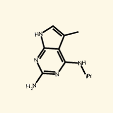 Cc1c[nH]c2nc(N)nc(NC(C)C)c12